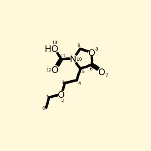 CCOCCC1C(=O)OCN1C(=O)O